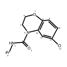 CC(C)NC(=O)N1CCOc2ccc(Cl)cc21